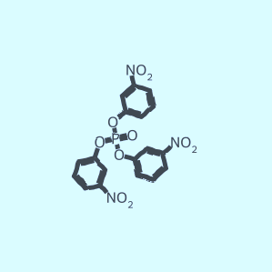 O=[N+]([O-])c1cccc(OP(=O)(Oc2cccc([N+](=O)[O-])c2)Oc2cccc([N+](=O)[O-])c2)c1